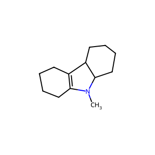 CN1C2=C(CCCC2)C2CCCCC21